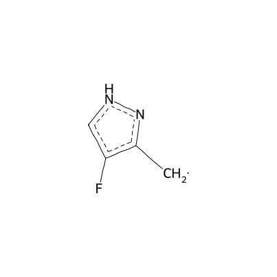 [CH2]c1n[nH]cc1F